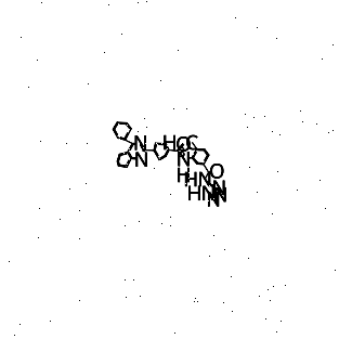 Cc1ccc(C(=O)Nc2nnn[nH]2)cc1NC(=O)c1ccc(-c2nc(-c3ccccc3)c3ccccc3n2)cc1